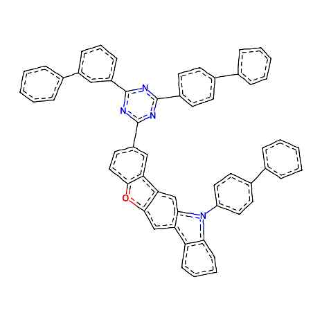 c1ccc(-c2ccc(-c3nc(-c4cccc(-c5ccccc5)c4)nc(-c4ccc5oc6cc7c8ccccc8n(-c8ccc(-c9ccccc9)cc8)c7cc6c5c4)n3)cc2)cc1